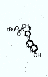 CN(C(=O)OC(C)(C)C)[C@H]1CN(c2cnc3nc(O)ccc3c2)C[C@@H]1F